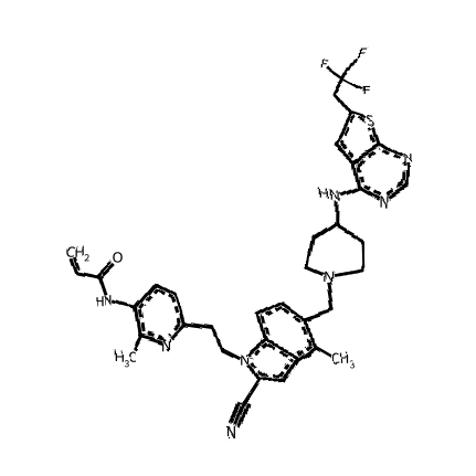 C=CC(=O)Nc1ccc(CCn2c(C#N)cc3c(C)c(CN4CCC(Nc5ncnc6sc(CC(F)(F)F)cc56)CC4)ccc32)nc1C